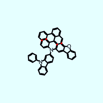 c1ccc(-c2cccc3cccc(-c4ccccc4N(c4ccc5oc6ccccc6c5c4)c4ccc5c6ccccc6n(-c6ccccc6)c5c4)c23)cc1